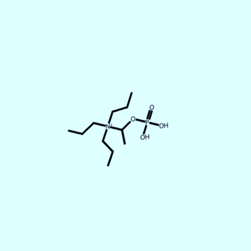 CCC[N+](CCC)(CCC)C(C)OP(=O)(O)O